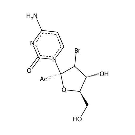 CC(=O)[C@@]1(n2ccc(N)nc2=O)O[C@H](CO)[C@@H](O)C1Br